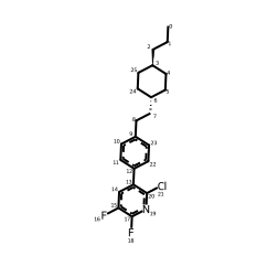 CCC[C@H]1CC[C@H](CCc2ccc(-c3cc(F)c(F)nc3Cl)cc2)CC1